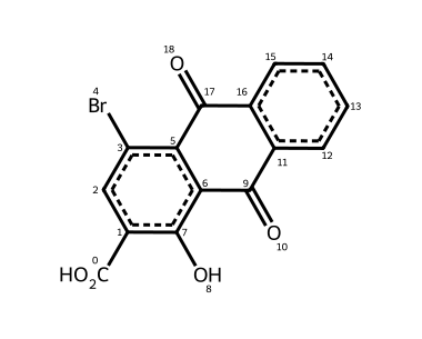 O=C(O)c1cc(Br)c2c(c1O)C(=O)c1ccccc1C2=O